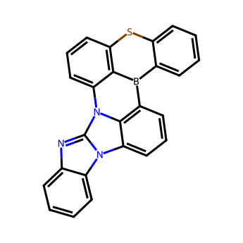 c1ccc2c(c1)Sc1cccc3c1B2c1cccc2c1n-3c1nc3ccccc3n21